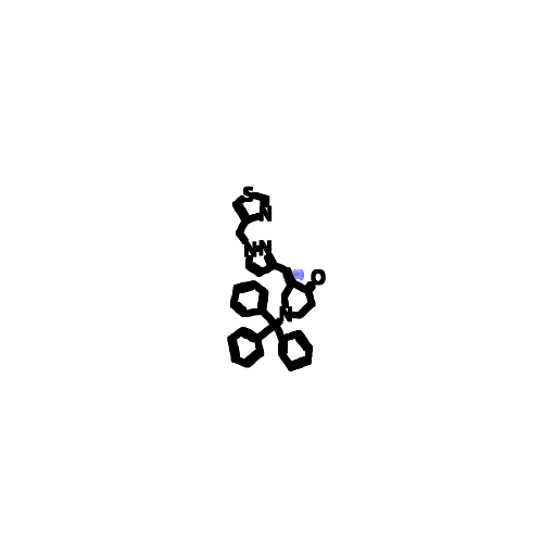 O=C1CCN(C(c2ccccc2)(c2ccccc2)c2ccccc2)C/C1=C\c1ccn(Cc2cscn2)n1